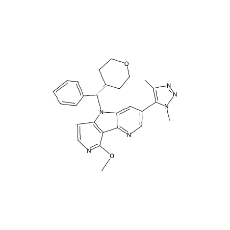 COc1nc[c]c2c1c1ncc(-c3c(C)nnn3C)cc1n2[C@H](c1ccccc1)C1CCOCC1